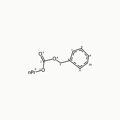 [CH2]CCOC(=O)OCc1ccccc1